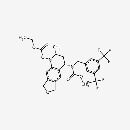 CCOC(=O)ON1c2cc3c(cc2[C@@H](N(Cc2cc(C(F)(F)F)cc(C(F)(F)F)c2)C(=O)OC)C[C@H]1C)COC3